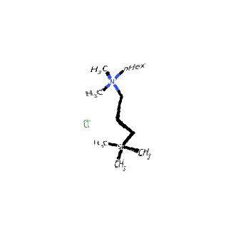 CCCCCC[N+](C)(C)CCC[Si](C)(C)C.[Cl-]